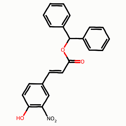 O=C(C=Cc1ccc(O)c([N+](=O)[O-])c1)OC(c1ccccc1)c1ccccc1